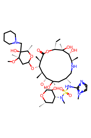 CC[C@H]1OC(=O)[C@H](C)[C@@H](O[C@H]2C[C@@](C)(OC)[C@](O)(CN3CCCCC3)[C@H](C)O2)[C@H](C)[C@@H](O[C@H]2O[C@@H](C)C[C@@H](N(C)S(=O)(=O)Nc3nccn3C)[C@@H]2O)[C@](C)(O)C[C@@H](C)CN[C@H](C)[C@@H](O)[C@]1(C)O